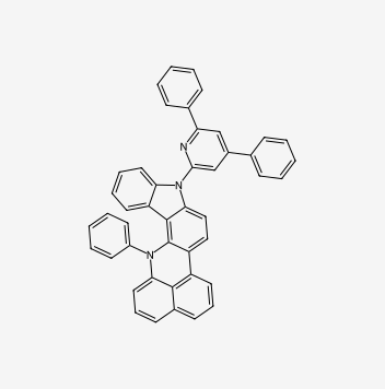 c1ccc(-c2cc(-c3ccccc3)nc(-n3c4ccccc4c4c5c(ccc43)-c3cccc4cccc(c34)N5c3ccccc3)c2)cc1